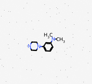 CN(C)c1cccc(N2CC[N]CC2)c1